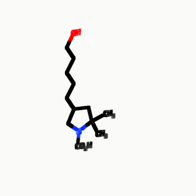 CC1(C)CC(CCCCCO)CN1C(=O)O